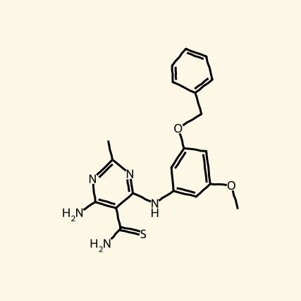 COc1cc(Nc2nc(C)nc(N)c2C(N)=S)cc(OCc2ccccc2)c1